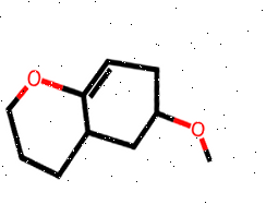 COC1CC=C2OCCCC2C1